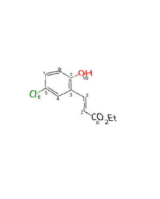 CCOC(=O)/C=C/c1cc(Cl)ccc1O